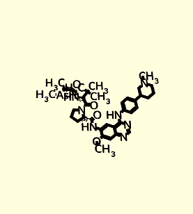 COc1cc2ncnc(Nc3ccc(C4CCCN(C)C4)cc3)c2cc1NC(=O)[C@@H]1CCCN1C(=O)[C@@H](NC(=O)[C@H](C)[AsH]C)C(C)(C)C